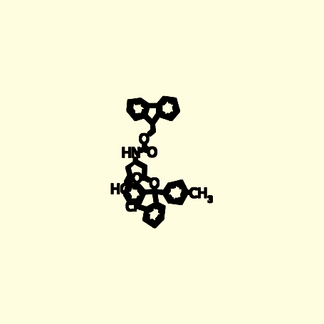 C#CC[C@H](CC(=O)OC(c1ccccc1)(c1ccc(C)cc1)c1ccccc1Cl)NC(=O)OCC1c2ccccc2-c2ccccc21